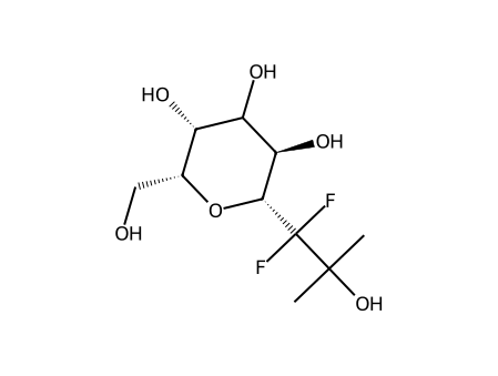 CC(C)(O)C(F)(F)[C@@H]1O[C@H](CO)[C@H](O)C(O)[C@H]1O